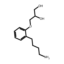 NCCCCc1ccccc1OCC(O)CO